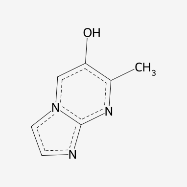 Cc1nc2nccn2cc1O